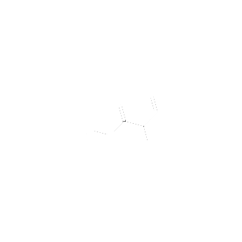 C=CC(C)C(=O)OC